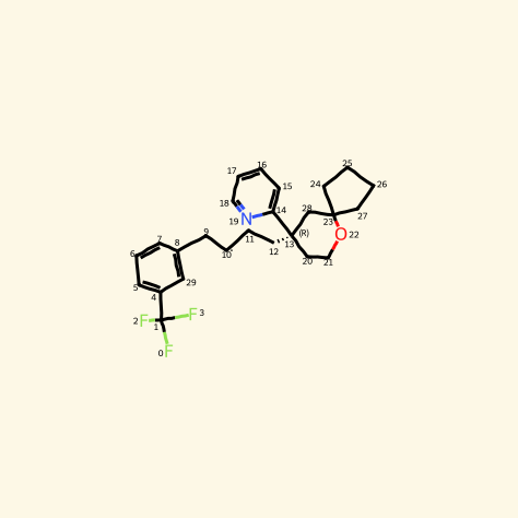 FC(F)(F)c1cccc(C[CH]CC[C@@]2(c3ccccn3)CCOC3(CCCC3)C2)c1